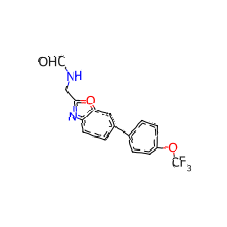 O=CNCc1nc2ccc(-c3ccc(OC(F)(F)F)cc3)cc2o1